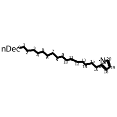 CCCCCCCCCCCCCCCCCCCCCCCCCCC1=CC=C[N]1